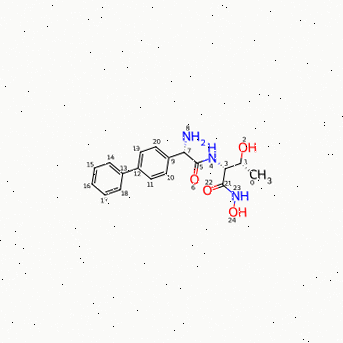 C[C@@H](O)[C@@H](NC(=O)[C@@H](N)c1ccc(-c2ccccc2)cc1)C(=O)NO